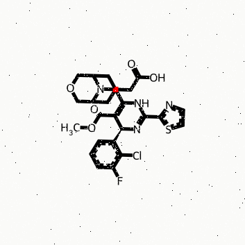 COC(=O)C1=C(CN2C3COCC2CC(CC(=O)O)C3)NC(c2nccs2)=N[C@H]1c1cccc(F)c1Cl